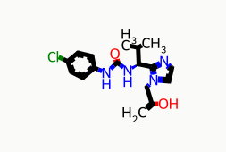 C=C(O)Cn1ccnc1[C@@H](NC(=O)Nc1ccc(Cl)cc1)C(C)C